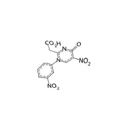 O=C(O)Cc1nc(=O)c([N+](=O)[O-])cn1-c1cccc([N+](=O)[O-])c1